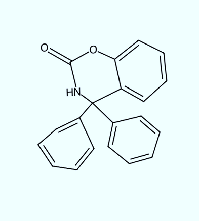 O=C1NC(c2ccccc2)(c2ccccc2)c2ccccc2O1